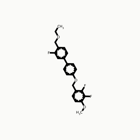 CCOCc1ccc(-c2ccc(OCc3ccc(OC)c(F)c3F)cc2)cc1F